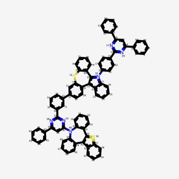 c1ccc(-c2cc(-c3ccccc3)nc(-c3ccc(-n4c5c(c6ccccc64)-c4ccc(-c6cccc(-c7nc(-c8ccccc8)cc(N8c9ccccc9-c9sc%10ccccc%10c9-c9ccccc98)n7)c6)cc4Sc4ccccc4-5)cc3)n2)cc1